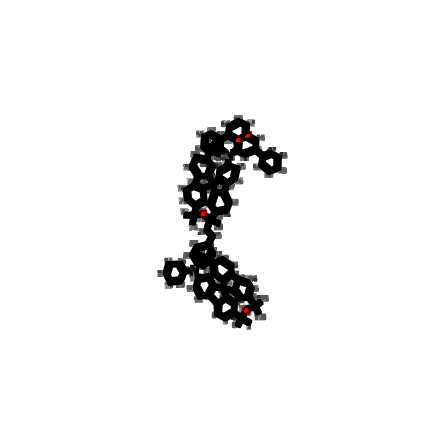 CC(C)(C)c1ccc2c(c1)C1(c3cc(N(c4ccccc4)c4ccc(CCC(C)(C)c5ccc6c(c5)C5(c7cc(N(c8cccc(-c9ccccc9)c8)c8ccccc8-c8ccccc8)ccc7-6)c6cc(C(C)(C)C)ccc6-c6ccc(C(C)(C)C)cc65)cc4)ccc3-2)c2cc(C(C)(C)C)ccc2-c2ccc(C(C)(C)C)cc21